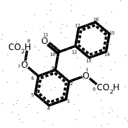 O=C(O)Oc1cccc(OC(=O)O)c1C(=O)c1ccccc1